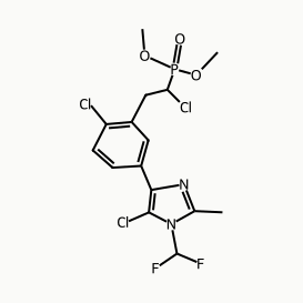 COP(=O)(OC)C(Cl)Cc1cc(-c2nc(C)n(C(F)F)c2Cl)ccc1Cl